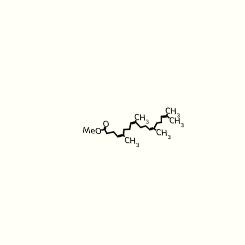 COC(=O)CCC=C(C)CCC=C(C)CCC=C(C)CCC=C(C)C